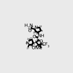 COc1c([C@H]2[C@H](C(=O)Nc3ccnc(C(N)=O)c3)O[C@]3(C(F)(F)F)C[C@]23C)ccnc1C